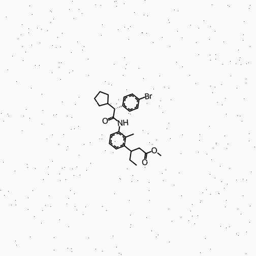 CCC(CC(=O)OC)c1cccc(NC(=O)[C@@H](c2ccc(Br)cc2)C2CCCC2)c1C